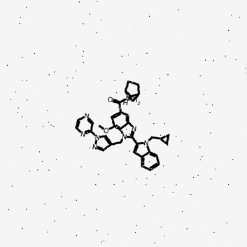 COc1cc(C(=O)N2CC3CCC2[C@@H]3N)cc2nc(-c3cc4ccccc4n3CC3CC3)n(Cc3cnn(-c4cnccn4)c3)c12